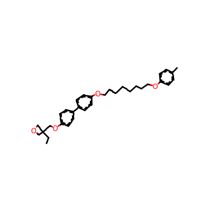 CCC1(COc2ccc(-c3ccc(OCCCCCCCCOc4ccc(C)cc4)cc3)cc2)COC1